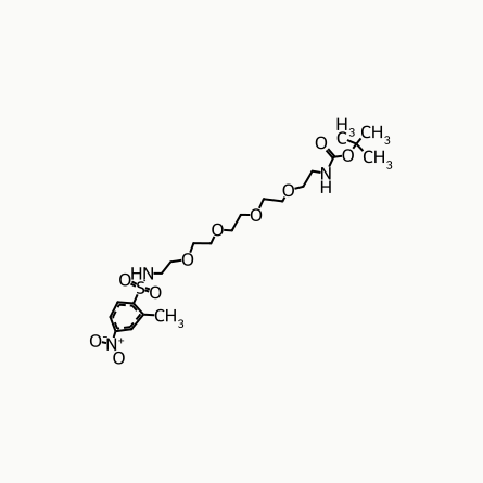 Cc1cc([N+](=O)[O-])ccc1S(=O)(=O)NCCOCCOCCOCCOCCNC(=O)OC(C)(C)C